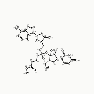 COC1C(OP(=O)(OC[C@H]2O[C@@H](n3cnc4c(N)ncnc43)CC2O)SCOC(=O)OC(C)C)[C@@H](CO)O[C@H]1n1ccc(=O)[nH]c1=O